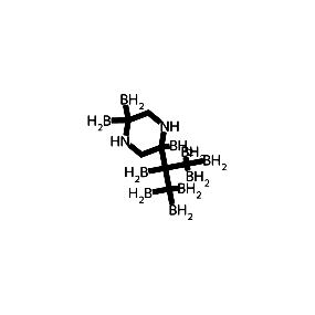 BC1(B)CNC(B)(C(B)(C(B)(B)B)C(B)(B)B)CN1